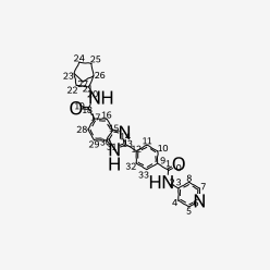 O=C(Nc1ccncc1)c1ccc(-c2nc3cc(C(=O)NC4CC5CCC4C5)ccc3[nH]2)cc1